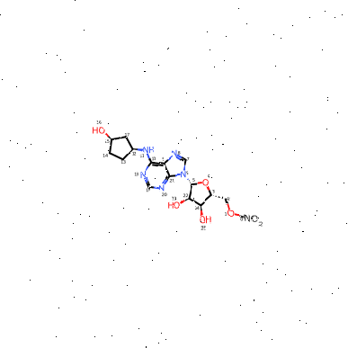 O=[N+]([O-])OC[C@H]1O[C@@H](n2cnc3c(N[C@H]4CC[C@@H](O)C4)ncnc32)[C@H](O)[C@@H]1O